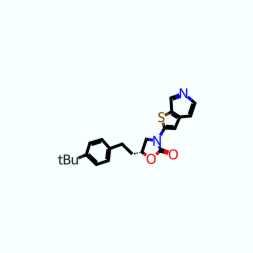 CC(C)(C)c1ccc(CC[C@@H]2CN(c3cc4ccncc4s3)C(=O)O2)cc1